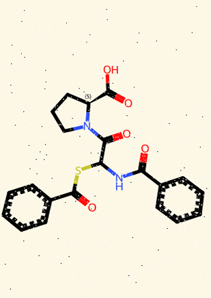 O=C(NC(SC(=O)c1ccccc1)C(=O)N1CCC[C@H]1C(=O)O)c1ccccc1